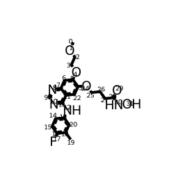 COCCOc1cc2ncnc(Nc3ccc(F)c(C)c3)c2cc1OCCCC(=O)NO